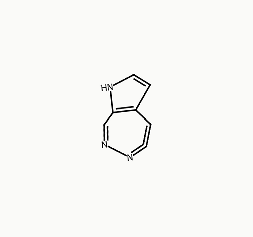 C1=Cc2cc[nH]c2C=NN=1